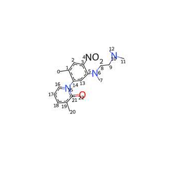 Cc1cc([N+](=O)[O-])c(N(C)CCN(C)C)cc1-n1cccc(C)c1=O